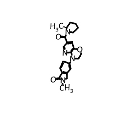 C[C@H]1CCCCN1C(=O)c1cnc2c(c1)OCCN2c1ccc2c(c1)CN(C)C2=O